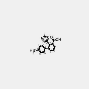 Cc1ccc(-c2cccc(C(=O)O)c2-c2nncs2)cc1